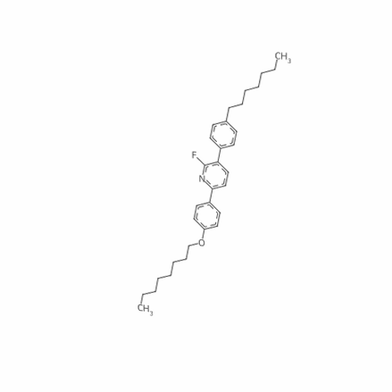 CCCCCCCCOc1ccc(-c2ccc(-c3ccc(CCCCCCC)cc3)c(F)n2)cc1